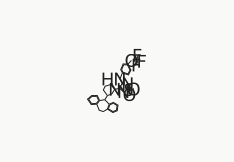 O=S1(=O)N=C(Nc2ccc(OC(F)(F)F)cc2)C(N2CCCC(C3c4ccccc4CCc4ccccc43)C2)=N1